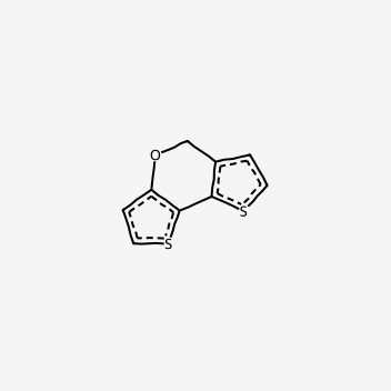 c1cc2c(s1)-c1sccc1OC2